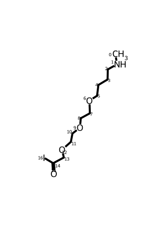 CNCCCCOCCOCCOCC(=O)I